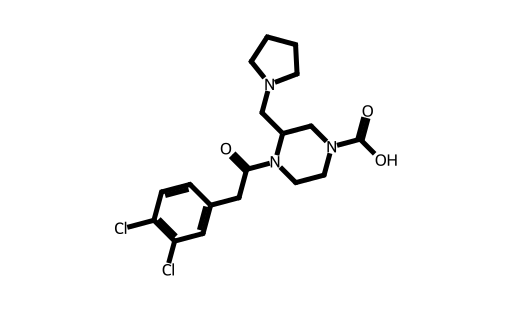 O=C(O)N1CCN(C(=O)Cc2ccc(Cl)c(Cl)c2)C(CN2CCCC2)C1